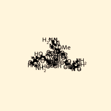 CCCCS(=O)(=O)NC[C@H]1[C@@H](O)[C@H](n2c[n+](C)c3c(=O)[nH]c(N)nc32)O[C@@H]1COP(=O)(O)OP(=O)(O)OP(=O)(O)OC[C@H]1O[C@@H](n2cnc3c(N)ncnc32)[C@H](OC)[C@@H]1OP(=O)(O)OC[C@H]1O[C@@H](n2cnc3c(=O)[nH]c(N)nc32)[C@H](O)[C@@H]1O